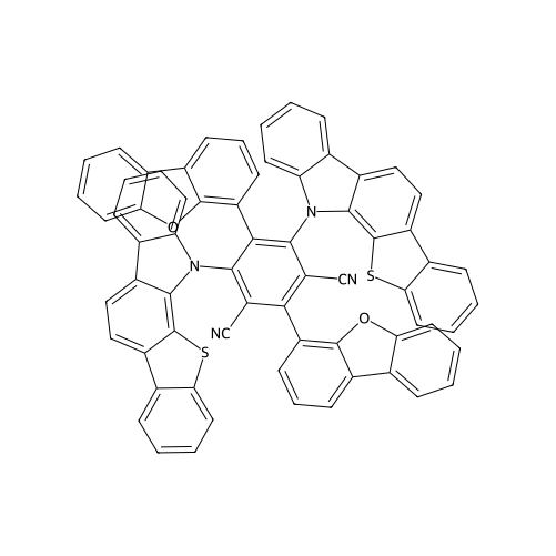 N#Cc1c(-c2cccc3c2oc2ccccc23)c(C#N)c(-n2c3ccccc3c3ccc4c5ccccc5sc4c32)c(-c2cccc3c2oc2ccccc23)c1-n1c2ccccc2c2ccc3c4ccccc4sc3c21